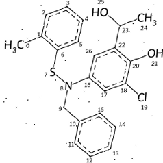 Cc1ccccc1SN(Cc1ccccc1)c1cc(Cl)c(O)c(C(C)O)c1